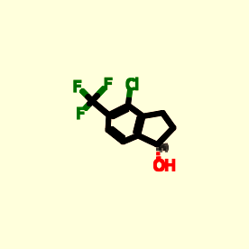 O[C@H]1CCc2c1ccc(C(F)(F)F)c2Cl